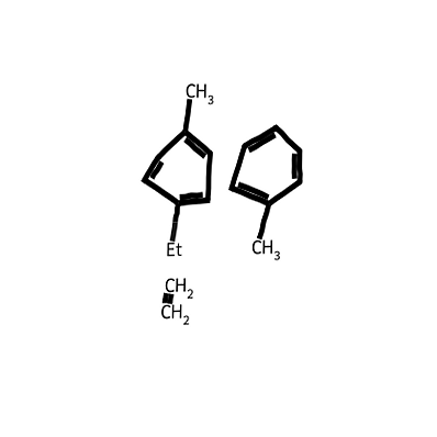 C=C.CCc1ccc(C)cc1.Cc1ccccc1